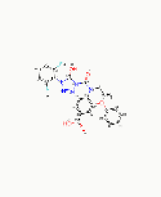 CCN(C(=O)N1N=NN(c2c(F)cccc2F)C1O)c1ccc(C(=O)O)cc1Oc1ccccc1